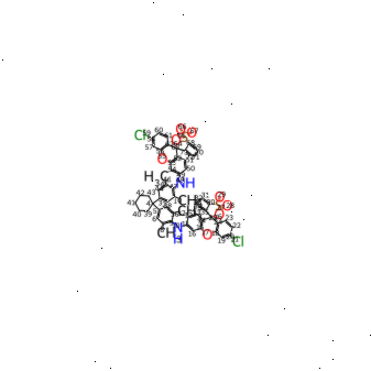 Cc1cc(C2(c3cc(C)c(Nc4ccc5c(c4)Oc4cc(Cl)ccc4C54OS(=O)(=O)c5ccccc54)c(C)c3)CCCCC2)cc(C)c1Nc1ccc2c(c1)Oc1cc(Cl)ccc1C21OS(=O)(=O)c2ccccc21